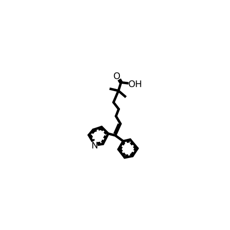 CC(C)(CCCC=C(c1ccccc1)c1cccnc1)C(=O)O